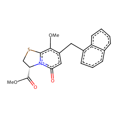 COC(=O)[C@@H]1CSc2c(OC)c(Cc3cccc4ccccc34)cc(=O)n21